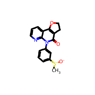 C[S+]([O-])c1cccc(-n2c(=O)c3c(c4cccnc42)OCC3)c1